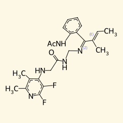 C/C=C(C)/C(=N/CNC(=O)CNc1c(C)c(C)nc(F)c1F)c1ccccc1NC(C)=O